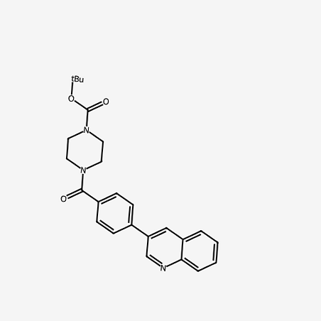 CC(C)(C)OC(=O)N1CCN(C(=O)c2ccc(-c3cnc4ccccc4c3)cc2)CC1